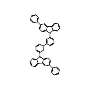 C1=CC(c2cccc(-n3c4ccccc4c4cc(-c5ccccc5)ccc43)c2)CC(n2c3ccccc3c3cc(-c4ccccc4)ccc32)=C1